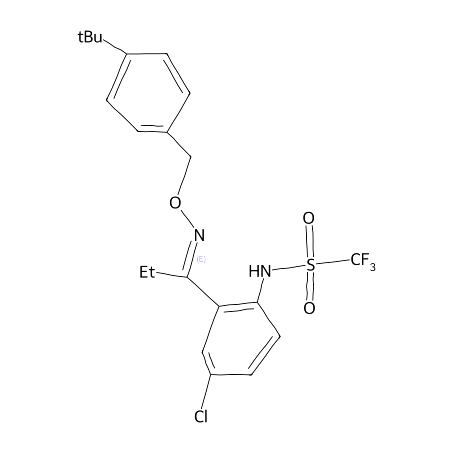 CC/C(=N\OCc1ccc(C(C)(C)C)cc1)c1cc(Cl)ccc1NS(=O)(=O)C(F)(F)F